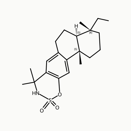 CC[C@]1(C)CCC[C@]2(C)c3cc4c(cc3CC[C@@H]12)C(C)(C)NS(=O)(=O)O4